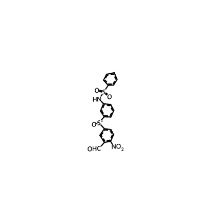 O=Cc1cc([S+]([O-])c2cccc(NS(=O)(=O)c3ccccc3)c2)ccc1[N+](=O)[O-]